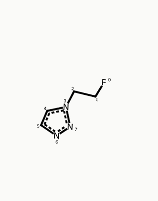 FCCn1ccnn1